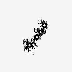 COc1cc2nccc(Oc3ccc4nc(NC(=O)c5ccnc(Cl)c5)sc4c3)c2cc1OC